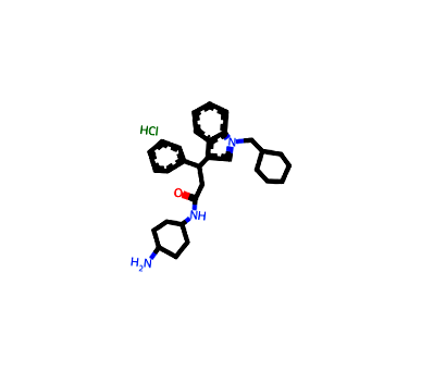 Cl.NC1CCC(NC(=O)CC(c2ccccc2)c2cn(CC3CCCCC3)c3ccccc23)CC1